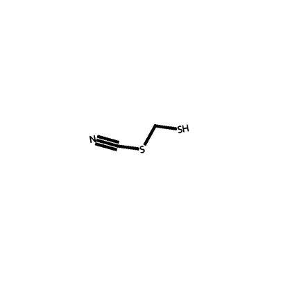 N#CSCS